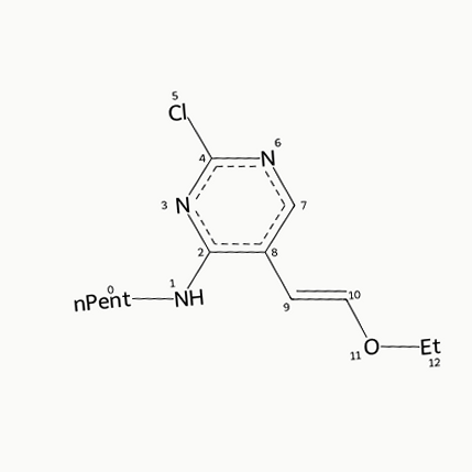 CCCCCNc1nc(Cl)ncc1C=COCC